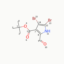 CC(C)(C)OC(=O)c1c(C=O)[nH]c(Br)c1Br